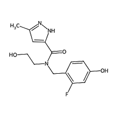 Cc1cc(C(=O)N(CCO)Cc2ccc(O)cc2F)[nH]n1